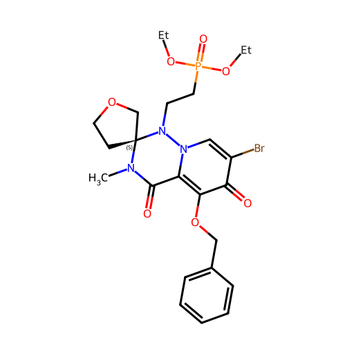 CCOP(=O)(CCN1n2cc(Br)c(=O)c(OCc3ccccc3)c2C(=O)N(C)[C@@]12CCOC2)OCC